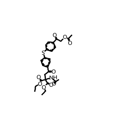 CCOC(=O)C(CC(=O)c1ccc(Sc2ccc(C(=O)COC(C)=O)cc2)cc1)(NC(C)=O)C(=O)OCC